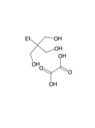 CCC(CO)(CO)CO.O=C(O)C(=O)O